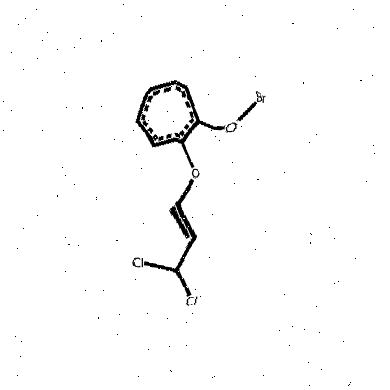 ClC(Cl)C=COc1ccccc1OBr